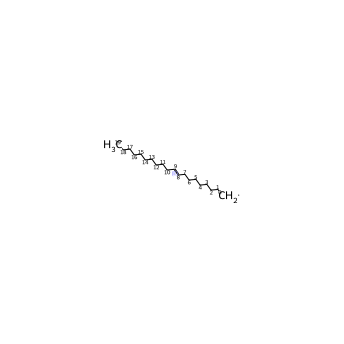 [CH2]CCCCCCC/C=C/CCCCCCCCCC